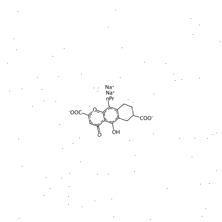 CCCc1c2c(c(O)c3c(=O)cc(C(=O)[O-])oc13)CC(C(=O)[O-])CC2.[Na+].[Na+]